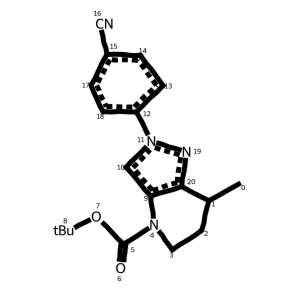 CC1CCN(C(=O)OC(C)(C)C)c2cn(-c3ccc(C#N)cc3)nc21